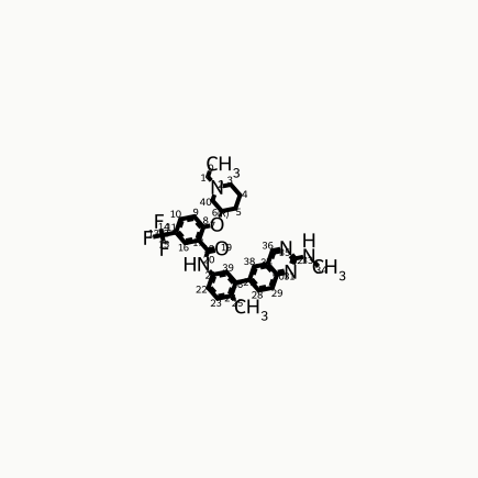 CCN1CCC[C@@H](Oc2ccc(C(F)(F)F)cc2C(=O)Nc2ccc(C)c(-c3ccc4nc(NC)ncc4c3)c2)C1